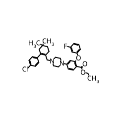 CCOC(=O)c1ccc(N2CCN(CC3=C(c4ccc(Cl)cc4)CC(C)(C)CC3)CC2)cc1Oc1cccc(F)c1